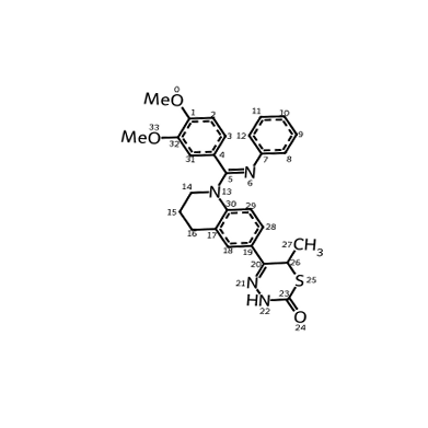 COc1ccc(C(=Nc2ccccc2)N2CCCc3cc(C4=NNC(=O)SC4C)ccc32)cc1OC